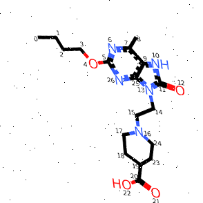 CCCCOc1nc(C)c2[nH]c(=O)n(CCN3CCC(C(=O)O)CC3)c2n1